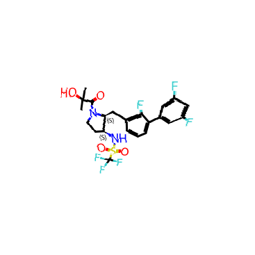 CC(C)(O)C(=O)N1CC[C@H](NS(=O)(=O)C(F)(F)F)[C@@H]1Cc1cccc(-c2cc(F)cc(F)c2)c1F